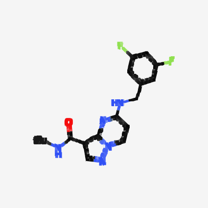 CC(C)(C)NC(=O)c1cnn2ccc(NCc3cc(F)cc(F)c3)nc12